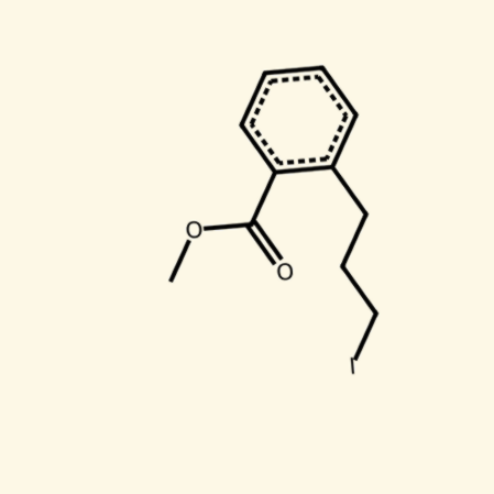 COC(=O)c1ccccc1CCCI